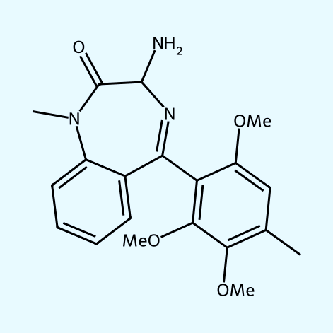 COc1cc(C)c(OC)c(OC)c1C1=NC(N)C(=O)N(C)c2ccccc21